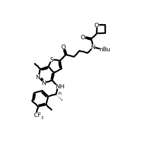 CCCCN(CCCC(=O)c1cc2c(N[C@H](C)c3cccc(C(F)(F)F)c3C)nnc(C)c2s1)C(=O)C1CCO1